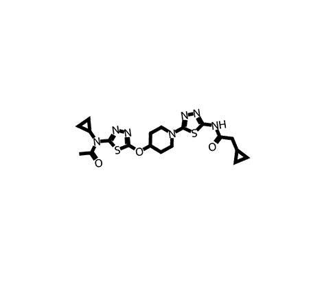 CC(=O)N(c1nnc(OC2CCN(c3nnc(NC(=O)CC4CC4)s3)CC2)s1)C1CC1